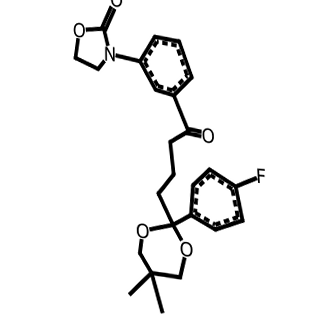 CC1(C)COC(CCCC(=O)c2cccc(N3CCOC3=O)c2)(c2ccc(F)cc2)OC1